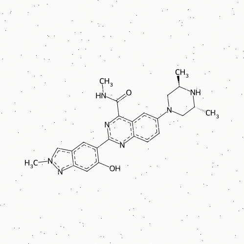 CNC(=O)c1nc(-c2cc3cn(C)nc3cc2O)nc2ccc(N3C[C@@H](C)N[C@H](C)C3)cc12